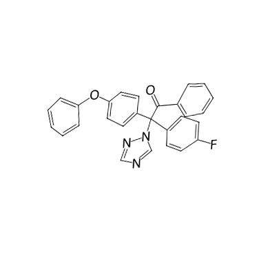 O=C(c1ccccc1)C(c1ccc(F)cc1)(c1ccc(Oc2ccccc2)cc1)n1cncn1